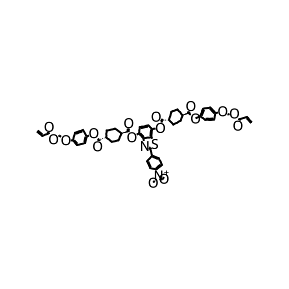 C=CC(=O)OCOc1ccc(OC(=O)[C@H]2CC[C@H](C(=O)Oc3ccc(OC(=O)[C@H]4CC[C@H](C(=O)Oc5ccc(OCOC(=O)C=C)cc5)CC4)c4sc(-c5ccc([N+](=O)[O-])cc5)nc34)CC2)cc1